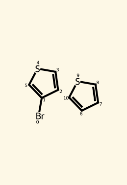 Brc1ccsc1.c1ccsc1